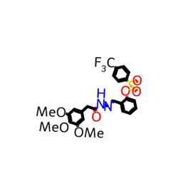 COc1cc(CC(=O)NN=Cc2ccccc2OS(=O)(=O)c2ccc(C(F)(F)F)cc2)cc(OC)c1OC